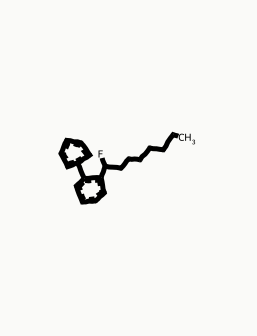 CCCCCCCC(F)c1ccccc1-c1ccccc1